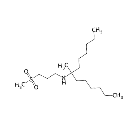 CCCCCCC(C)(CCCCCC)NCCCS(C)(=O)=O